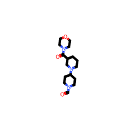 O=CN1CCC(N2CCCC(C(=O)N3CCOCC3)C2)CC1